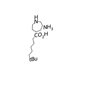 C1CCCNCC1.CC(C)(C)CCCCCC(=O)O.N